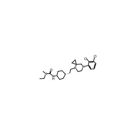 CCN(C)C(=O)N[C@H]1CC[C@H](CCN2CCN(c3cccc(Cl)c3Cl)CC23CC3)CC1